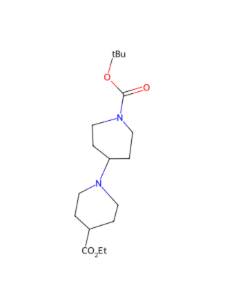 CCOC(=O)C1CCN(C2CCN(C(=O)OC(C)(C)C)CC2)CC1